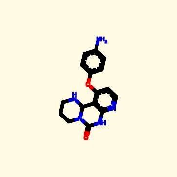 Nc1ccc(Oc2ccnc3c2C2NCCCN2C(=O)N3)cc1